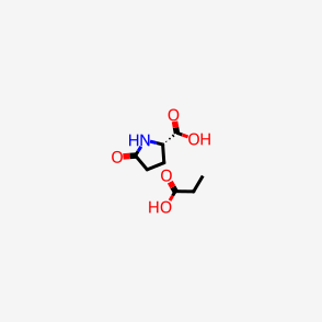 CCC(=O)O.O=C1CC[C@@H](C(=O)O)N1